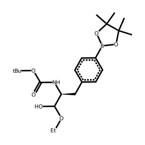 CCOC(O)[C@H](Cc1ccc(B2OC(C)(C)C(C)(C)O2)cc1)NC(=O)OC(C)(C)C